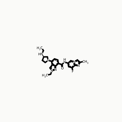 CCN[C@@H]1CCN(c2ccc(C(=O)Nc3cc(F)c4nc(C)cn4c3)c3nn(CC)cc23)C1